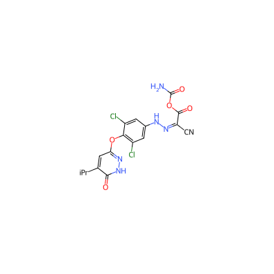 CC(C)c1cc(Oc2c(Cl)cc(N/N=C(/C#N)C(=O)OC(N)=O)cc2Cl)n[nH]c1=O